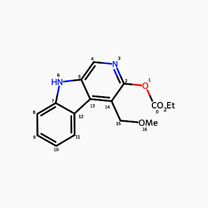 CCOC(=O)Oc1ncc2[nH]c3ccccc3c2c1COC